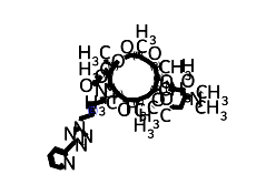 CC[C@H]1OC(=O)[C@H](C)C(=O)[C@H](C)[C@@H](O[C@@H]2OC(C)CC(N(C)C)C2O)[C@](C)(OC)C[C@@H](C)C(=O)[C@H](C)[C@H]2N(C/C=C/Cn3nnc(-c4ccccn4)n3)C(=O)O[C@]12C